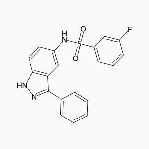 O=S(=O)(Nc1ccc2[nH]nc(-c3ccccc3)c2c1)c1cccc(F)c1